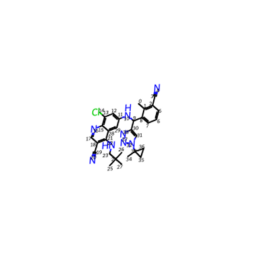 Cc1c(C#N)cccc1C(Nc1cc(Cl)c2ncc(C#N)c(NCC(C)(C)C)c2c1)c1cn(C2(C)CC2)nn1